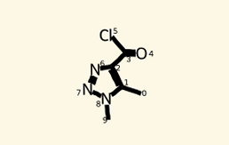 Cc1c(C(=O)Cl)nnn1C